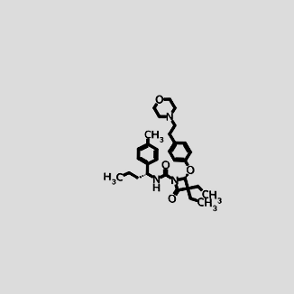 CCC[C@@H](NC(=O)N1C(=O)C(CC)(CC)[C@@H]1Oc1ccc(CCN2CCOCC2)cc1)c1ccc(C)cc1